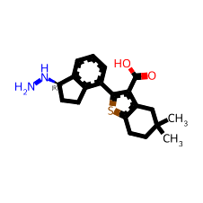 CC1(C)CCc2sc(-c3cccc4c3CC[C@H]4NN)c(C(=O)O)c2C1